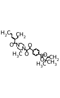 C=C/C=C(\C=C)C(=O)N1CCN(C(=O)C(=O)c2ccc(B3OC(=C)C(C)(C)O3)cc2)[C@H](C)C1